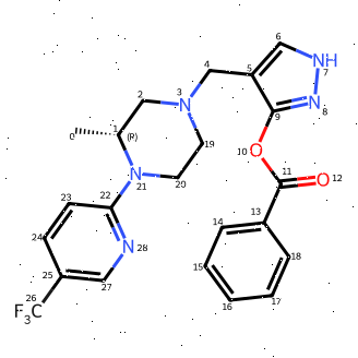 C[C@@H]1CN(Cc2c[nH]nc2OC(=O)c2ccccc2)CCN1c1ccc(C(F)(F)F)cn1